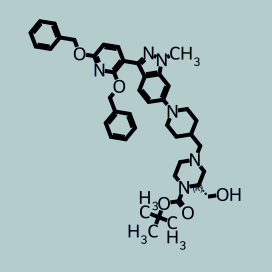 Cn1nc(-c2ccc(OCc3ccccc3)nc2OCc2ccccc2)c2ccc(N3CCC(CN4CCN(C(=O)OC(C)(C)C)[C@@H](CO)C4)CC3)cc21